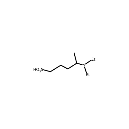 CCN(CC)C(C)CCCS(=O)(=O)O